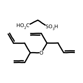 C=CCC(C=C)OC(C=C)CC=C.O=C(O)CS(=O)(=O)O